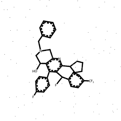 OC1CN(Cc2ccccc2)Cc2nc(C3CCCC3)c(C(F)c3ccc(C(F)(F)F)cc3)c(-c3ccc(F)cc3)c21